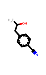 CC(O)Cc1ccc(C#N)cc1